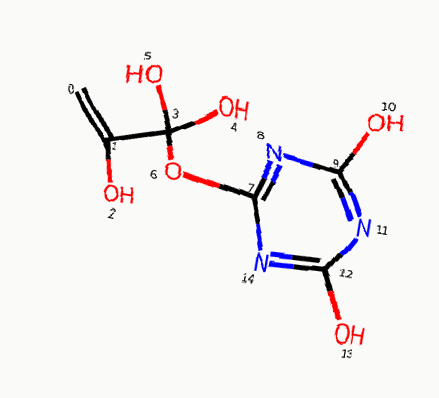 C=C(O)C(O)(O)Oc1nc(O)nc(O)n1